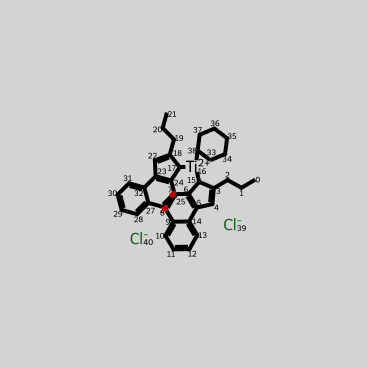 CCCC1=Cc2c(ccc3ccccc23)[CH]1[Ti+2]1([CH]2C(CCC)=Cc3c2ccc2ccccc32)[CH]2CCCC[CH]21.[Cl-].[Cl-]